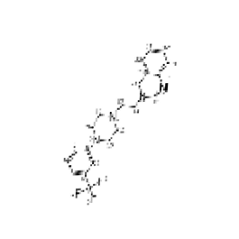 FC(F)(F)c1cccc(N2CCN(CCN3C=Nc4ccccc4C3)CC2)c1